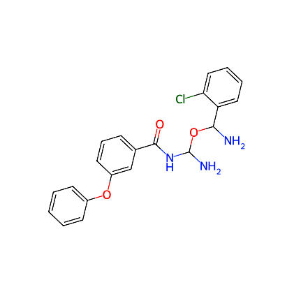 NC(NC(=O)c1cccc(Oc2ccccc2)c1)OC(N)c1ccccc1Cl